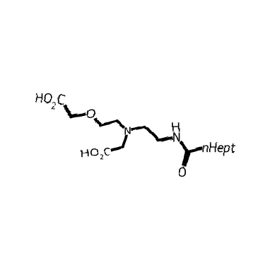 CCCCCCCC(=O)NCCN(CCOCC(=O)O)CC(=O)O